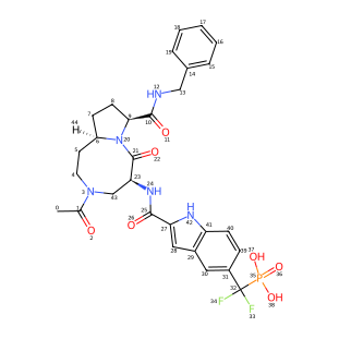 CC(=O)N1CC[C@H]2CC[C@@H](C(=O)NCc3ccccc3)N2C(=O)[C@@H](NC(=O)c2cc3cc(C(F)(F)P(=O)(O)O)ccc3[nH]2)C1